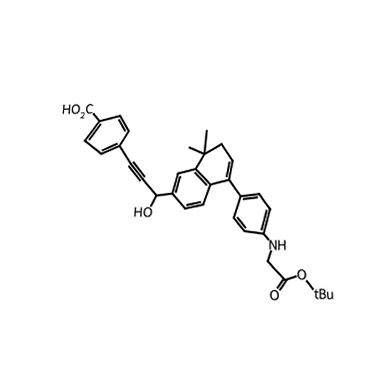 CC(C)(C)OC(=O)CNc1ccc(C2=CCC(C)(C)c3cc(C(O)C#Cc4ccc(C(=O)O)cc4)ccc32)cc1